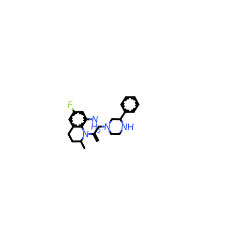 C=C(CN1CCNC(c2ccccc2)C1)N1c2c(N)cc(F)cc2CCC1C